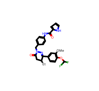 CCC1CC(=O)N(Cc2ccc(NC(=O)c3ccc[nH]3)cc2)N=C1c1ccc(OC(F)F)c(OC)c1